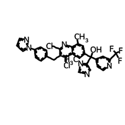 Cc1cc(C(O)(c2ccnc(C(F)(F)F)c2)c2cncn2C)cc2c(Cl)c(Cc3ccc(-n4cccn4)cc3)c(Cl)nc12